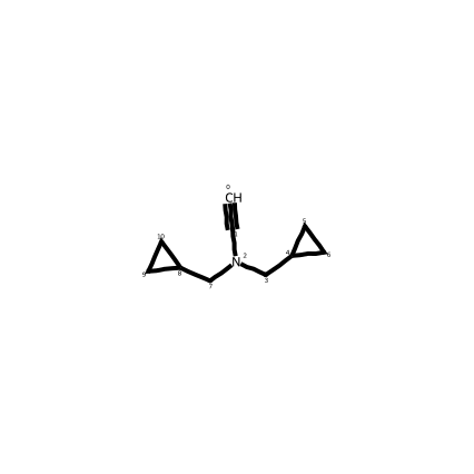 C#CN(CC1CC1)CC1CC1